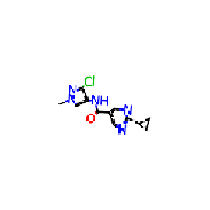 Cn1cc(NC(=O)c2cnc(C3CC3)nc2)c(Cl)n1